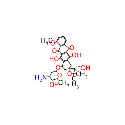 COc1cccc2c1C(=O)c1c(O)c3c(c(O)c1C2=O)CC1(CC3OC2CC(N)C(O)C(C)O2)OC(C)(C)[C@H]1CO